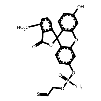 NP(=O)(OCC=S)Oc1ccc2c(c1)Oc1cc(O)ccc1C21OC(=O)c2c(C(=O)O)cccc21